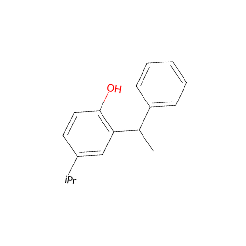 CC(C)c1ccc(O)c(C(C)c2ccccc2)c1